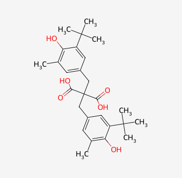 Cc1cc(CC(Cc2cc(C)c(O)c(C(C)(C)C)c2)(C(=O)O)C(=O)O)cc(C(C)(C)C)c1O